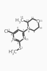 CSc1nc(Cl)cc(N2CCOCC2C)n1